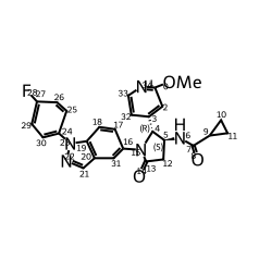 COc1cc([C@@H]2[C@@H](NC(=O)C3CC3)CC(=O)N2c2ccc3c(cnn3-c3ccc(F)cc3)c2)ccn1